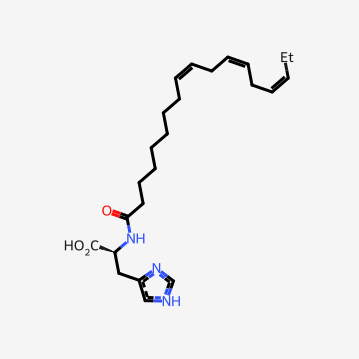 CC/C=C\C/C=C\C/C=C\CCCCCCCC(=O)N[C@@H](Cc1c[nH]cn1)C(=O)O